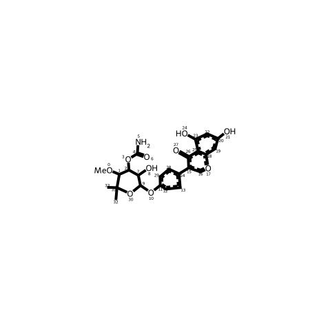 COC1C(OC(N)=O)C(O)C(Oc2ccc(-c3coc4cc(O)cc(O)c4c3=O)cc2)OC1(C)C